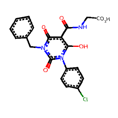 O=C(O)CNC(=O)c1c(O)n(-c2ccc(Cl)cc2)c(=O)n(Cc2ccccc2)c1=O